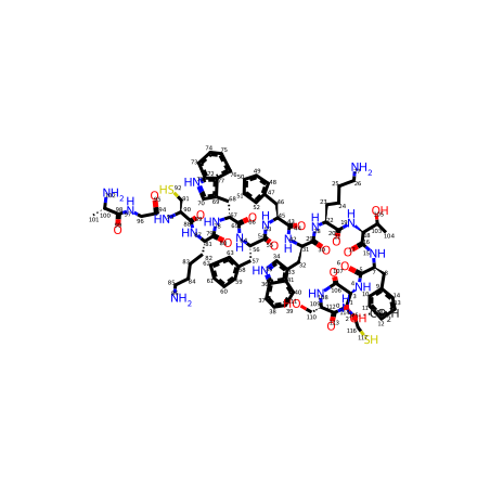 CC(O)[C@H](NC(=O)[C@H](Cc1ccccc1)NC(=O)[C@@H](NC(=O)[C@H](CCCCN)NC(=O)[C@@H](Cc1c[nH]c2ccccc12)NC(=O)[C@H](Cc1ccccc1)NC(=O)[C@H](Cc1ccccc1)NC(=O)[C@@H](Cc1c[nH]c2ccccc12)NC(=O)[C@H](CCCCN)NC(=O)[C@H](CS)NC(=O)CNC(=O)[C@H](C)N)C(C)O)C(=O)N[C@@H](CO)C(=O)N[C@@H](CS)C(=O)O